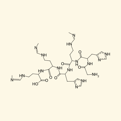 C/N=C\NCCC(NC(=O)C(CCN/C=N\C)NC(=O)C(Cc1c[nH]cn1)NC(=O)C(CCN/C=N\C)NC(=O)C(Cc1c[nH]cn1)NC(=O)CN)C(=O)O